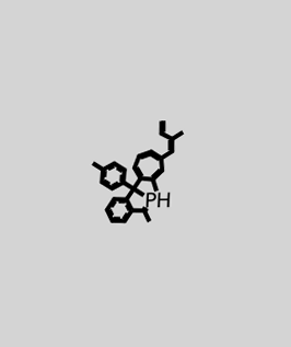 C=C/C(C)=C\C1=C=CC=C(C(C)(c2ccc(C)cc2)c2ccccc2C(C)=P)C(C)=C1